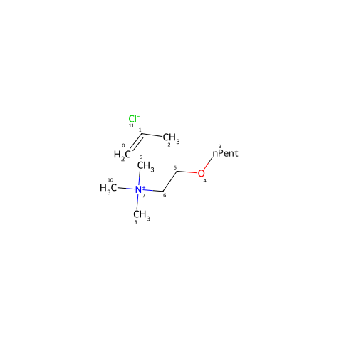 C=CC.CCCCCOCC[N+](C)(C)C.[Cl-]